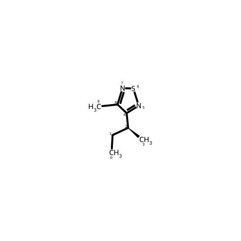 CC[C@H](C)c1nsnc1C